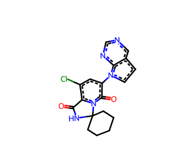 O=C1NC2(CCCCC2)n2c1c(Cl)cc(-n1ccc3cncnc31)c2=O